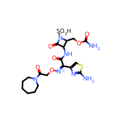 NC(=O)OCC1C(NC(=O)/C(=N\OCC(=O)N2CCCCCC2)c2csc(N)n2)C(=O)N1S(=O)(=O)O